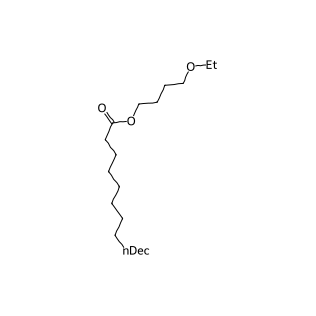 CCCCCCCCCCCCCCCCCC(=O)OCCCCOCC